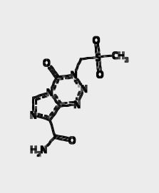 CS(=O)(=O)Cn1nnc2c(C(N)=O)ncn2c1=O